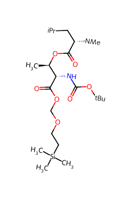 CN[C@@H](CC(C)C)C(=O)O[C@H](C)[C@H](NC(=O)OC(C)(C)C)C(=O)OCOCC[Si](C)(C)C